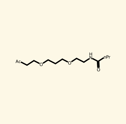 CCCC(=O)NCCOCCCOCCC(C)=O